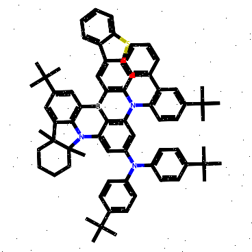 CC(C)(C)c1ccc(N(c2ccc(C(C)(C)C)cc2)c2cc3c4c(c2)N2c5c(cc(C(C)(C)C)cc5C5(C)CCCCC25C)B4c2cc4c(cc2N3c2ccc(C(C)(C)C)cc2-c2ccccc2)sc2ccccc24)cc1